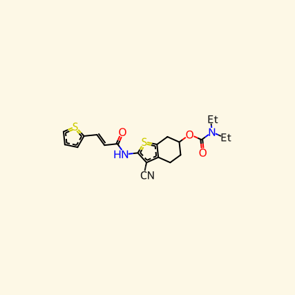 CCN(CC)C(=O)OC1CCc2c(sc(NC(=O)C=Cc3cccs3)c2C#N)C1